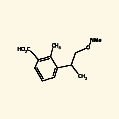 CNOCC(C)c1cccc(C(=O)O)c1C